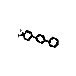 FC1(F)C=CC(c2ccc(-c3ccccc3)cc2)=CC1